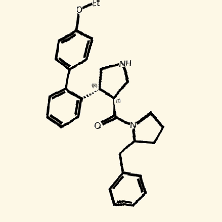 CCOc1ccc(-c2ccccc2[C@@H]2CNC[C@H]2C(=O)N2CCCC2Cc2ccccc2)cc1